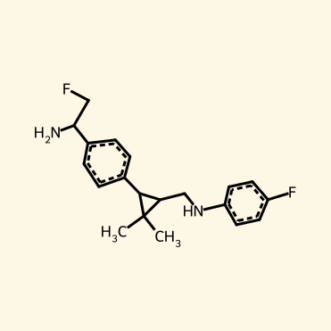 CC1(C)C(CNc2ccc(F)cc2)C1c1ccc(C(N)CF)cc1